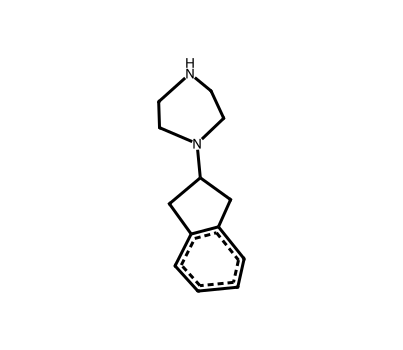 c1ccc2c(c1)CC(N1CCNCC1)C2